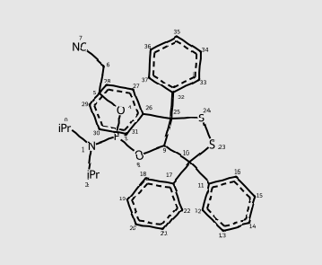 CC(C)N(C(C)C)P(OCCC#N)OC1C(c2ccccc2)(c2ccccc2)SSC1(c1ccccc1)c1ccccc1